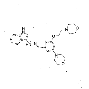 C(=N\Nc1c[nH]c2ccccc12)/c1cc(N2CCOCC2)cc(OCCN2CCOCC2)n1